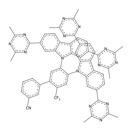 Cc1nc(C)nc(-c2ccc3c4ccc(-c5nc(C)nc(C)n5)cc4n(-c4cc(-c5cccc(C#N)c5)c(C(F)(F)F)cc4-n4c5cc(-c6nc(C)nc(C)n6)ccc5c5ccc(-c6nc(C)nc(C)n6)cc54)c3c2)n1